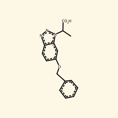 CC(C(=O)O)n1nnc2ccc(OCc3ccccc3)cc21